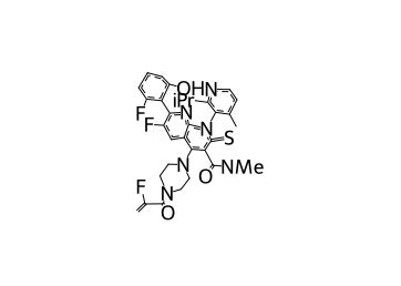 C=C(F)C(=O)N1CCN(c2c(C(=O)NC)c(=S)n(-c3c(C)ccnc3C(C)C)c3nc(-c4c(O)cccc4F)c(F)cc23)CC1